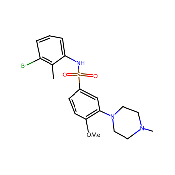 COc1ccc(S(=O)(=O)Nc2cccc(Br)c2C)cc1N1CCN(C)CC1